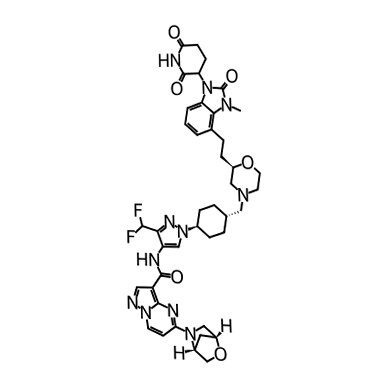 Cn1c(=O)n(C2CCC(=O)NC2=O)c2cccc(CC[C@@H]3CN(C[C@H]4CC[C@H](n5cc(NC(=O)c6cnn7ccc(N8C[C@H]9C[C@@H]8CO9)nc67)c(C(F)F)n5)CC4)CCO3)c21